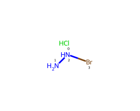 Cl.NNBr